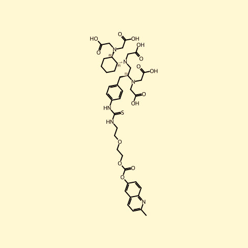 Cc1ccc2cc(OC(=O)OCCOCCNC(=S)Nc3ccc(C[C@@H](CN(CC(=O)O)[C@@H]4CCCC[C@H]4N(CC(=O)O)CC(=O)O)N(CC(=O)O)CC(=O)O)cc3)ccc2n1